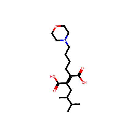 CC(C)C(C)C/C(C(=O)O)=C(/CCCCN1CCOCC1)C(=O)O